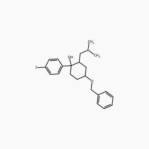 CN(C)CC1CC(OCc2ccccc2)CCC1(O)c1ccc(F)cc1